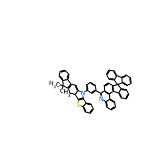 CC1(C)C2=C(C=C3C(C2)c2sc4ccccc4c2N3c2cccc(-c3nc4ccccc4c4c5c(ccc34)C3(c4ccccc4-c4ccccc43)c3ccccc3-5)c2)c2ccccc21